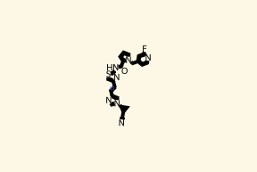 N#CC1CC1n1cnc(/C=C/c2csc(NC(=O)c3cccn3Cc3ccnc(F)c3)n2)c1